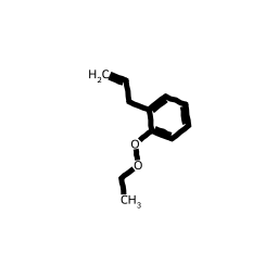 C=CCc1ccccc1OOCC